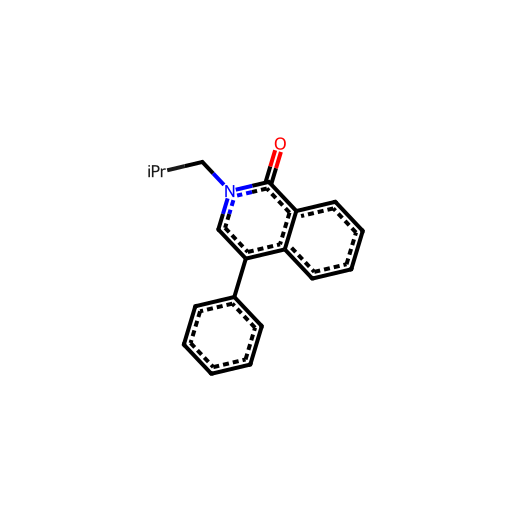 CC(C)Cn1cc(-c2ccccc2)c2ccccc2c1=O